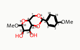 COc1ccc(C2OCC3OC(OC)C(O)C(O)C3O2)cc1